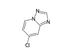 Clc1ccn2ncnc2c1